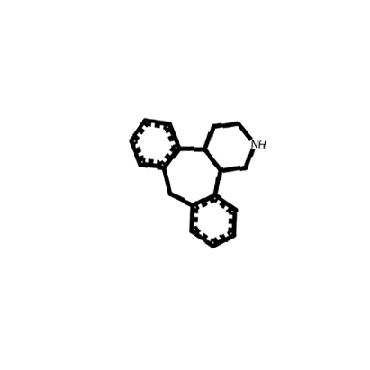 c1ccc2c(c1)Cc1ccccc1C1CNCCC21